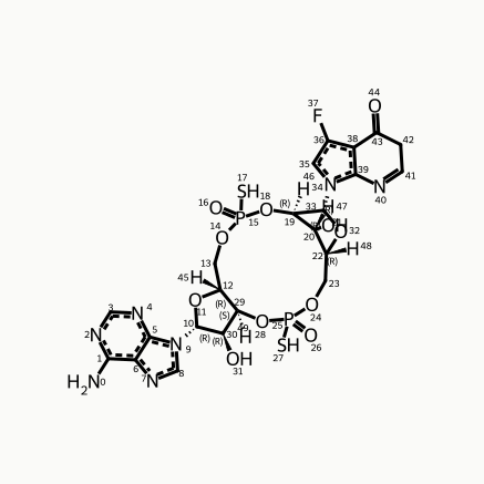 Nc1ncnc2c1ncn2[C@@H]1O[C@@H]2COP(=O)(S)O[C@@H]3[C@H](O)[C@@H](COP(=O)(S)O[C@H]2[C@H]1O)O[C@H]3n1cc(F)c2c1N=CCC2=O